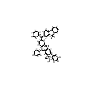 CC1(C)c2ccccc2-c2ccc(N(c3ccccc3)c3ccc(N(c4ccccc4)c4ccc5c(c4)C(C)(C)c4ccccc4-5)c(Cl)c3)cc21